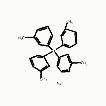 Cc1cccc([B-](c2cccc(C)c2)(c2cccc(C)c2)c2cccc(C)c2)c1.[Na+]